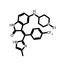 CCN1CCC(Nc2ccc3c(c2)/C(=C(\c2ccc(C(F)(F)F)cc2)c2nc(C)c[nH]2)C(=O)N3)CC1